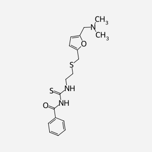 CN(C)Cc1ccc(CSCCNC(=S)NC(=O)c2ccccc2)o1